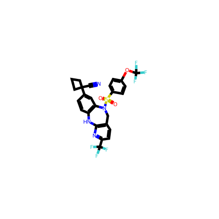 N#CC1(c2ccc3c(c2)N(S(=O)(=O)c2ccc(OC(F)(F)F)cc2)Cc2ccc(C(F)(F)F)nc2N3)CCC1